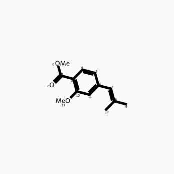 COC(=O)c1ccc(C=C(C)C)cc1OC